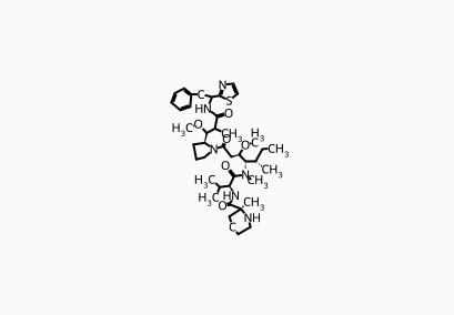 CC[C@H](C)[C@@H]([C@@H](CC(=O)N1CCC[C@H]1C(OC)C(C)C(=O)NC(Cc1ccccc1)c1nccs1)OC)N(C)C(=O)[C@@H](NC(=O)[C@]1(C)CCCCN1)C(C)C